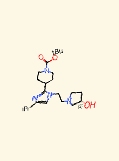 CC(C)c1cn(CCN2CC[C@H](O)C2)c(C2CCN(C(=O)OC(C)(C)C)CC2)n1